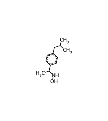 CC(C)Cc1ccc(C(C)NO)cc1